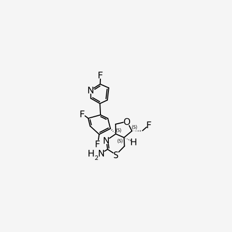 NC1=N[C@@]2(c3cc(-c4ccc(F)nc4)c(F)cc3F)CO[C@H](CF)[C@H]2CS1